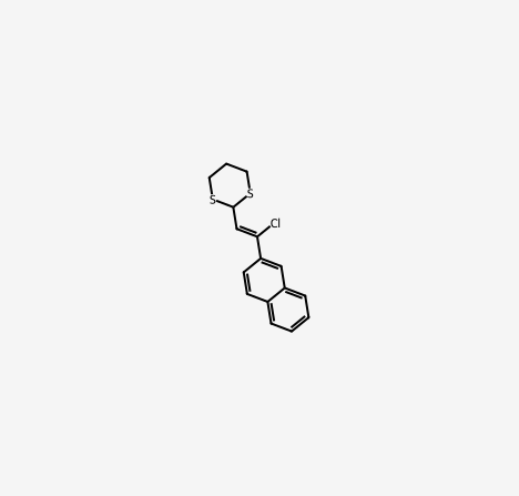 Cl/C(=C\C1SCCCS1)c1ccc2ccccc2c1